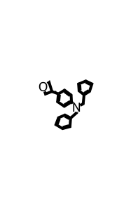 c1ccc(CN(Cc2ccccc2)c2ccc([C]3COC3)cc2)cc1